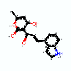 Cc1cc(O)c(C(=O)C=Cc2cccc3[nH]ccc23)c(=O)o1